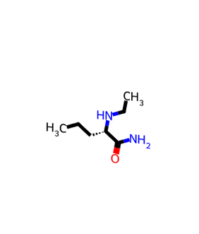 CCC[C@H](NCC)C(N)=O